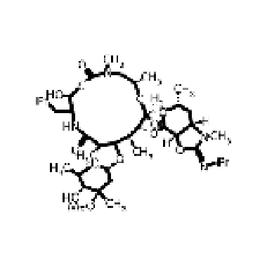 CO[C@]1(C)C[C@H](OC2C(C)C(=O)NC(CC(C)C)[C@@H](O)CC(=O)N(C)C[C@H](C)C[C@@](C)(O)[C@H](OC3O[C@H](C)C[C@H]4[C@H]3O/C(=N/C(C)C)N4C)[C@H]2C)OC(C)[C@@H]1O